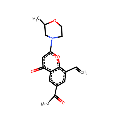 C=Cc1cc(C(=O)OC)cc2c(=O)cc(N3CCOC(C)C3)oc12